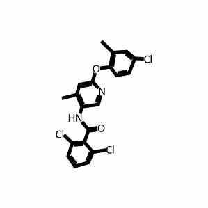 Cc1cc(Oc2ccc(Cl)cc2C)ncc1NC(=O)c1c(Cl)cccc1Cl